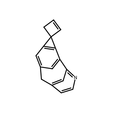 C1=CC2(C1)c1cc3cc(c12)-c1cc(ccn1)C3